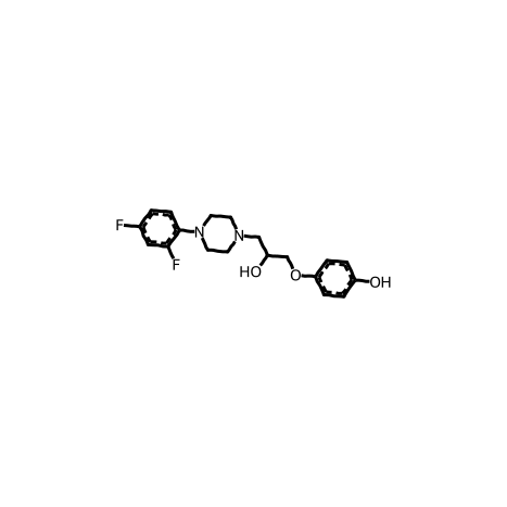 Oc1ccc(OCC(O)CN2CCN(c3ccc(F)cc3F)CC2)cc1